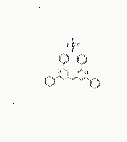 C(=C1C=C(c2ccccc2)OC(c2ccccc2)=C1)c1cc(-c2ccccc2)[o+]c(-c2ccccc2)c1.F[B-](F)(F)F